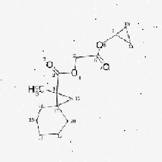 CC1(C(=O)OCC(=O)OC2CC2)CC12CCCCC2